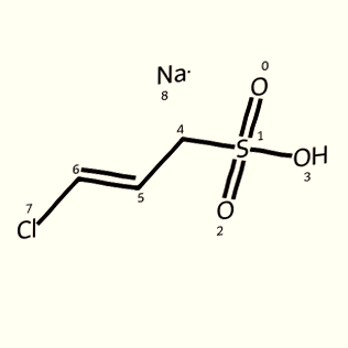 O=S(=O)(O)CC=CCl.[Na]